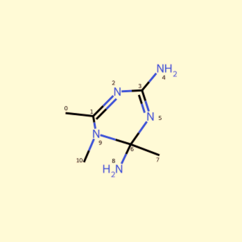 CC1=NC(N)=NC(C)(N)N1C